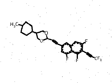 CC1CCC(C2COC(C#Cc3cc(F)c4c(F)c(C#CC(F)(F)F)c(F)cc4c3)OC2)CC1